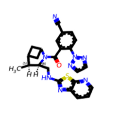 C[C@H]1C2CC(C2)N(C(=O)c2cc(C#N)ccc2-n2nccn2)[C@H]1CNc1nc2cccnc2s1